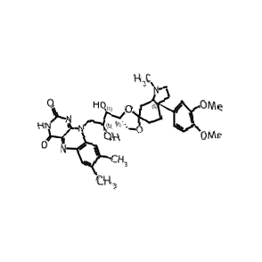 COc1ccc([C@]23CCN(C)C2CC2(CC3)OC[C@H]([C@@H](O)[C@@H](O)Cn3c4nc(=O)[nH]c(=O)c-4nc4cc(C)c(C)cc43)O2)cc1OC